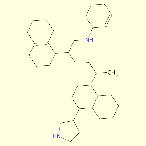 CC(CCC(CNC1C=CCCC1)C1CCCC2=C1CCCC2)C1CCC(C2CCNC2)C2CCCCC12